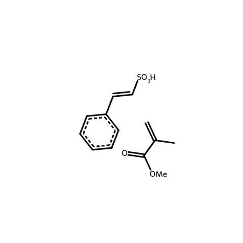 C=C(C)C(=O)OC.O=S(=O)(O)C=Cc1ccccc1